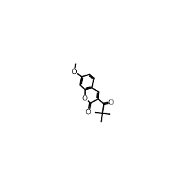 COc1ccc2cc(C(=O)C(C)(C)C)c(=O)oc2c1